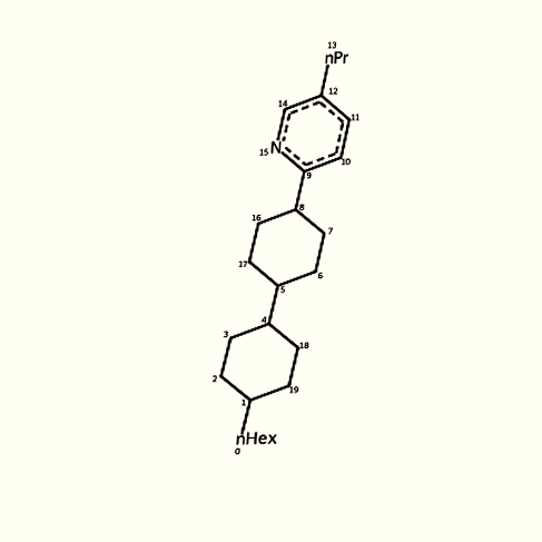 CCCCCCC1CCC(C2CCC(c3ccc(CCC)cn3)CC2)CC1